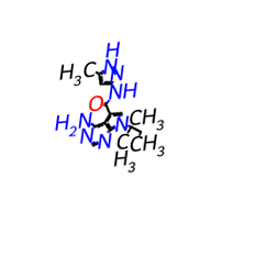 CCC(C)(C)n1cc(C(=O)Nc2cc(C)[nH]n2)c2c(N)ncnc21